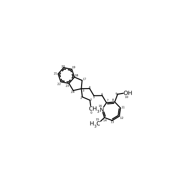 CCCC1(CCCC2=C(CO)C=C=CC(C)=N2)Cc2ccccc2C1